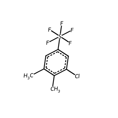 Cc1cc(S(F)(F)(F)(F)F)cc(Cl)c1C